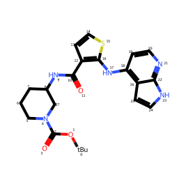 CC(C)(C)OC(=O)N1CCCC(NC(=O)c2ccsc2Nc2ccnc3[nH]ccc23)C1